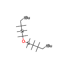 CC(C)(C)CC(C)(C)C(C)(C)[Si](C)(C)OC(C)(C)[Si](C)(C)C(C)(C)CC(C)(C)C